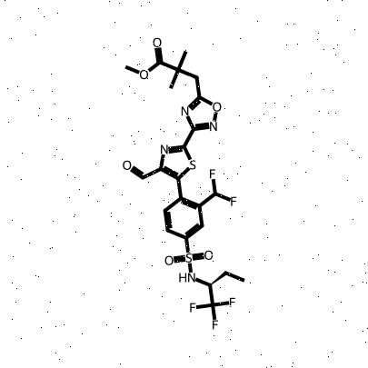 CC[C@H](NS(=O)(=O)c1ccc(-c2sc(-c3noc(CC(C)(C)C(=O)OC)n3)nc2C=O)c(C(F)F)c1)C(F)(F)F